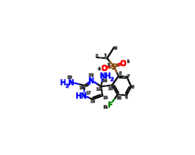 CC(C)S(=O)(=O)c1cccc(F)c1C1(N)C=CNC(N)=N1